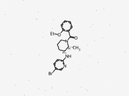 CCOc1ccccc1C(=O)N1CCC[C@@H](Nc2ccc(Br)cn2)[C@H]1C